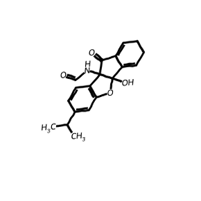 CC(C)c1ccc2c(c1)OC1(O)C3=CCCC=C3C(=O)C21NC=O